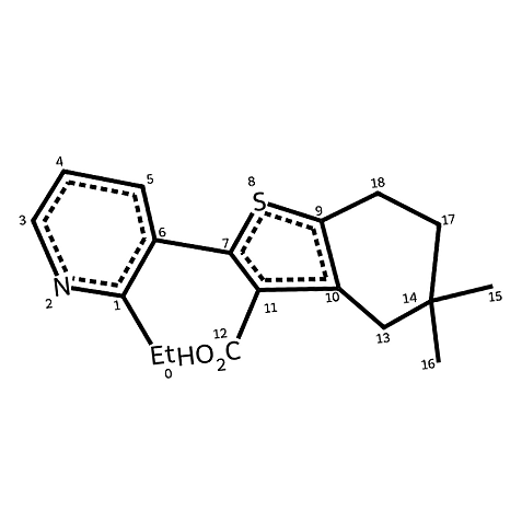 CCc1ncccc1-c1sc2c(c1C(=O)O)CC(C)(C)CC2